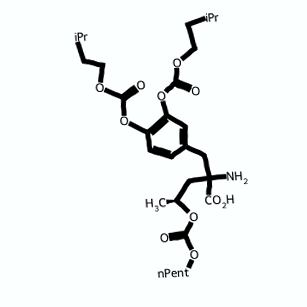 CCCCCOC(=O)O[C@@H](C)CC(N)(Cc1ccc(OC(=O)OCCC(C)C)c(OC(=O)OCCC(C)C)c1)C(=O)O